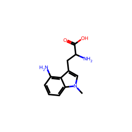 Cn1cc(CC(N)C(=O)O)c2c(N)cccc21